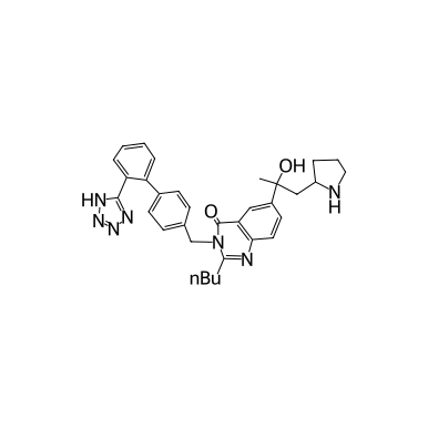 CCCCc1nc2ccc(C(C)(O)CC3CCCN3)cc2c(=O)n1Cc1ccc(-c2ccccc2-c2nnn[nH]2)cc1